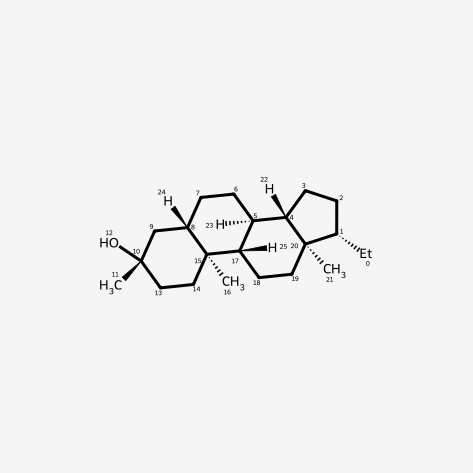 CC[C@H]1CC[C@H]2[C@@H]3CC[C@H]4C[C@@](C)(O)CC[C@]4(C)[C@H]3CC[C@]12C